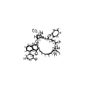 CC1[C@H]2CCCCCc3c(nc4ccccc4c3O[C@H]3CCNC[C@H]3F)O[C@@H]3C[C@@H](C(=O)O)N(C3)C(=O)[C@H](C3CCCCC3)NC(=O)O[C@H]12